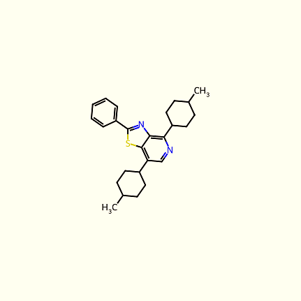 CC1CCC(c2ncc(C3CCC(C)CC3)c3sc(-c4ccccc4)nc23)CC1